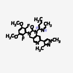 C=C/C=C(\N=C/C)N1C(=O)N(c2c(F)c(OC)cc(OC)c2F)Cc2cnc(-c3cn(C)nc3C)cc21